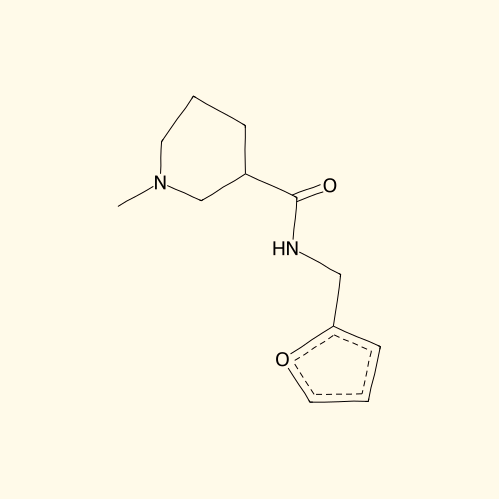 CN1CCCC(C(=O)NCc2ccco2)C1